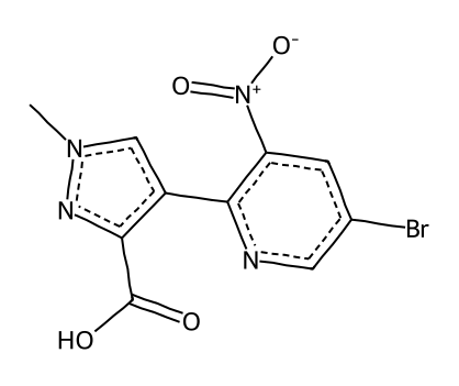 Cn1cc(-c2ncc(Br)cc2[N+](=O)[O-])c(C(=O)O)n1